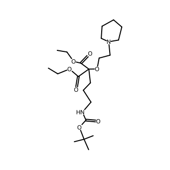 CCOC(=O)C(CCCNC(=O)OC(C)(C)C)(OCCN1CCCCC1)C(=O)OCC